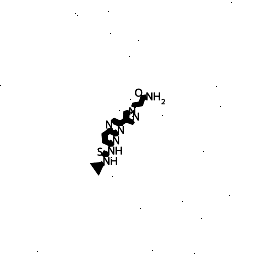 NC(=O)CCn1cc(-c2cnc3ccc(NC(=S)NC4CC4)nc3n2)cn1